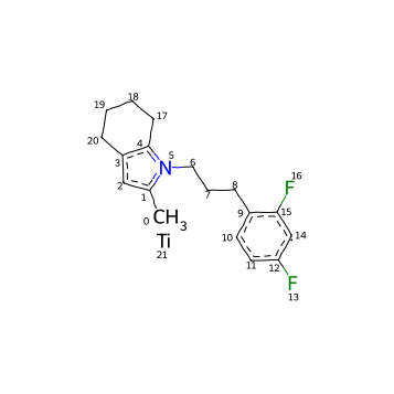 Cc1cc2c(n1CCCc1ccc(F)[c]c1F)CCCC2.[Ti]